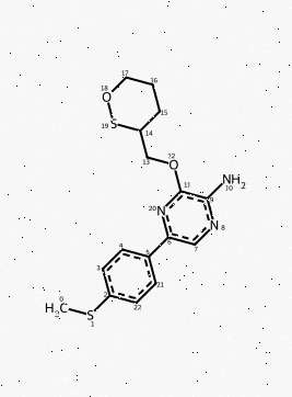 CSc1ccc(-c2cnc(N)c(OCC3CCCOS3)n2)cc1